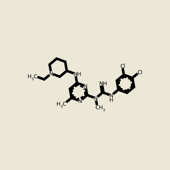 CCN1CCCC(Nc2cc(C)nc(N(C)C(=N)Nc3ccc(Cl)c(Cl)c3)n2)C1